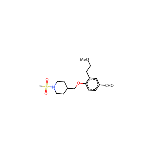 COCCc1cc(C=O)ccc1OCC1CCN(S(C)(=O)=O)CC1